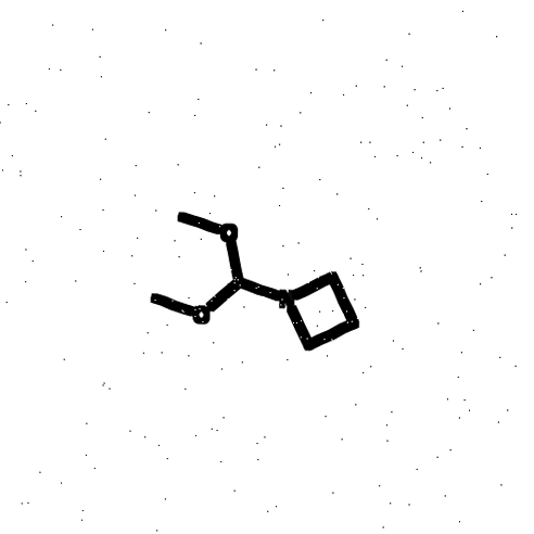 COC(OC)N1CCC1